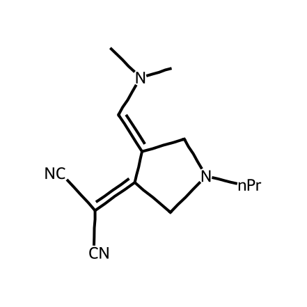 CCCN1CC(=CN(C)C)C(=C(C#N)C#N)C1